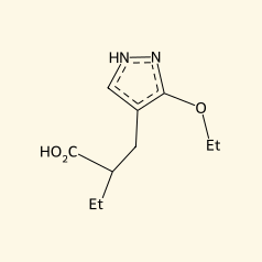 CCOc1n[nH]cc1CC(CC)C(=O)O